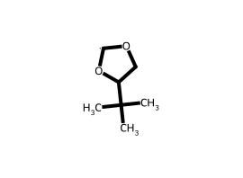 CC(C)(C)C1CO[CH]O1